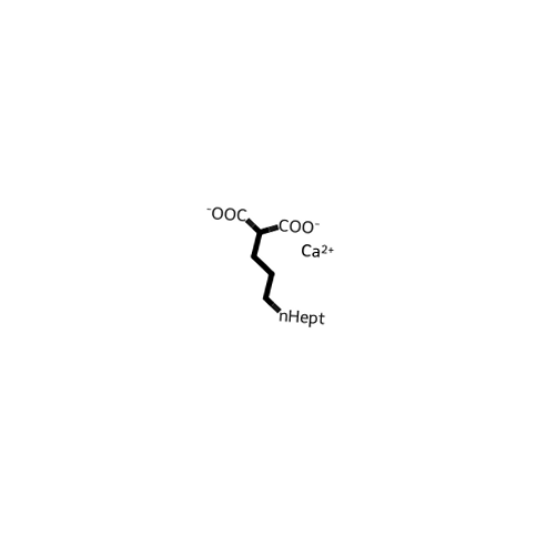 CCCCCCCCCCC(C(=O)[O-])C(=O)[O-].[Ca+2]